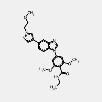 CCNC(=O)c1c(OC)cc(-n2cnc3cc(-c4cnn(CCOC)c4)ccc32)cc1OC